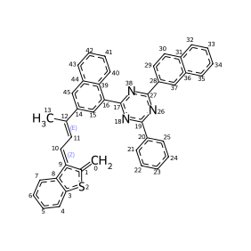 C=c1sc2ccccc2/c1=C/C=C(\C)c1cc(-c2nc(-c3ccccc3)nc(-c3ccc4ccccc4c3)n2)c2ccccc2c1